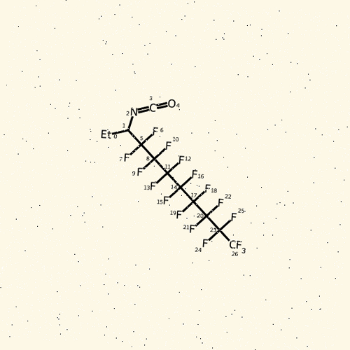 CCC(N=C=O)C(F)(F)C(F)(F)C(F)(F)C(F)(F)C(F)(F)C(F)(F)C(F)(F)C(F)(F)F